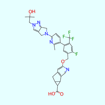 Cc1nc(N2Cc3cn(CC(C)(C)O)nc3C2)ccc1-c1cc(COc2cc3c(cn2)C2C(C3)C2C(=O)O)c(F)cc1C(F)(F)F